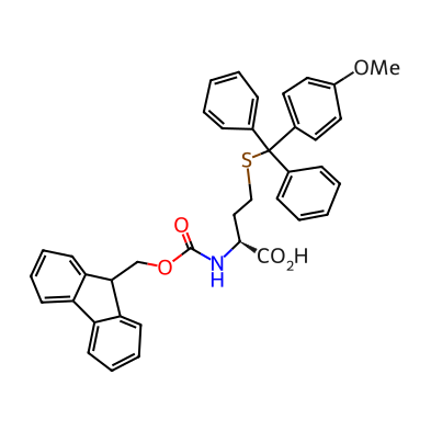 COc1ccc(C(SCC[C@H](NC(=O)OCC2c3ccccc3-c3ccccc32)C(=O)O)(c2ccccc2)c2ccccc2)cc1